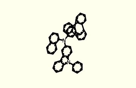 c1ccc(-n2c3ccccc3c3cc(N(c4ccc5c(c4)-c4c6cccc4-c4cccc-5c4-c4ccccc4-6)c4cccc5ccccc45)ccc32)cc1